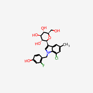 Cc1cc(Cl)c2c(c1)c([C@@H]1O[C@H](CO)[C@@H](O)[C@H](O)[C@H]1O)cn2Cc1ccc(O)cc1F